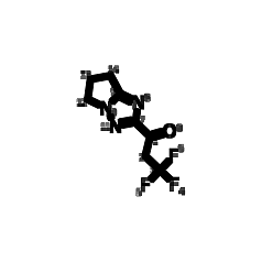 O=C(CC(F)(F)F)c1nc2n(n1)CCC2